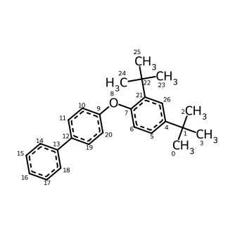 CC(C)(C)c1ccc(Oc2ccc(-c3ccccc3)cc2)c(C(C)(C)C)c1